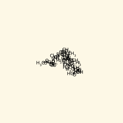 CC1COc2ccccc2N1C(=O)C(Cl)Cl.CCNc1nc(Cl)nc(NC(C)(C)C)n1.CCOC(=O)COC(=O)c1cc(Oc2ccc(C(F)(F)F)cc2Cl)ccc1[N+](=O)[O-].CCc1cccc(C)c1N(C(=O)CCl)C(C)COC.C[S+](C)C.O=C(O)CNCP(=O)([O-])O